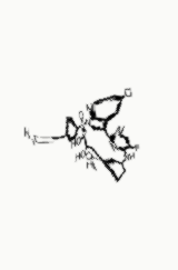 Cc1ccc(S(=O)(=O)n2cc(-c3ncc(F)c(N[C@H]4CCC[C@@](O)(CC(O)CO)C4)n3)c3cc(Cl)cnc32)cc1